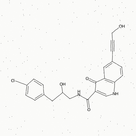 O=C(NCC(O)Cc1ccc(Cl)cc1)c1c[nH]c2ccc(C#CCO)cc2c1=O